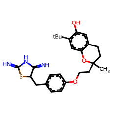 CC1(CCOc2ccc(CC3SC(=N)NC3=N)cc2)CCc2cc(O)c(C(C)(C)C)cc2O1